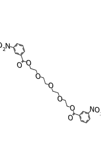 O=C(OCCOCCOCCOCCOC(=O)c1cccc([N+](=O)[O-])c1)c1cccc([N+](=O)[O-])c1